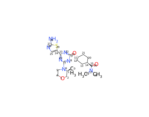 C[C@H]1COCCN1c1nc(O[C@H]2CC[C@H](C(=O)N(C)C)CC2)nc(-c2cnc(N)s2)n1